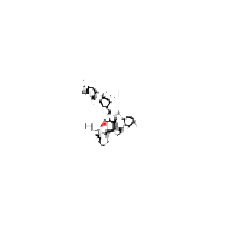 Cc1cc(Oc2ccc(C(=O)N[C@H](C)C(=O)N3[C@@H]([C@H](C)N4CCCC4=O)CC[C@H]3C3C=C(Cl)C=CC3)cc2C)c(=O)[nH]n1